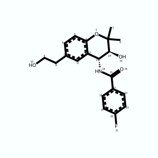 CC1(C)Oc2ccc(CCO)cc2[C@@H](NC(=O)c2ccc(F)cc2)[C@@H]1O